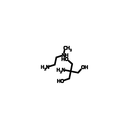 CNCCN.NC(CO)(CO)CO